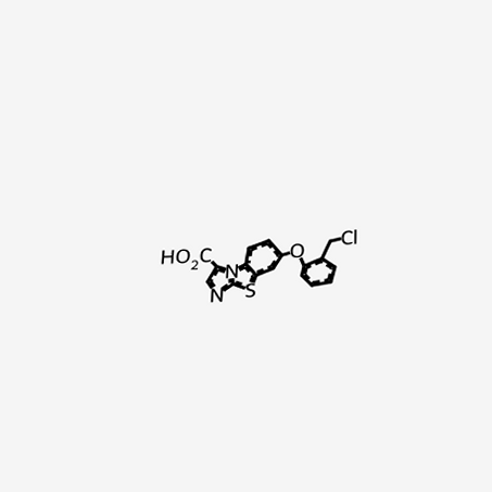 O=C(O)c1cnc2sc3cc(Oc4ccccc4CCl)ccc3n12